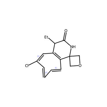 CCC1C(=O)NC2(COC2)C2=C1\C=C(Cl)/C=C/C=C/2